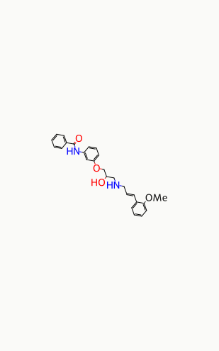 COc1ccccc1/C=C/CNCC(O)COc1cccc(NC(=O)c2ccccc2)c1